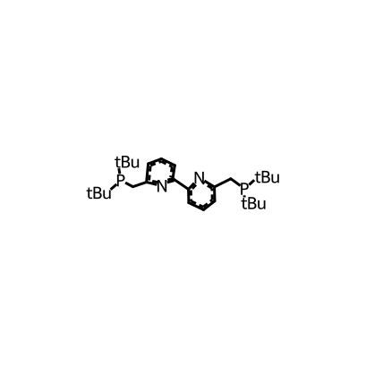 CC(C)(C)P(Cc1cccc(-c2cccc(CP(C(C)(C)C)C(C)(C)C)n2)n1)C(C)(C)C